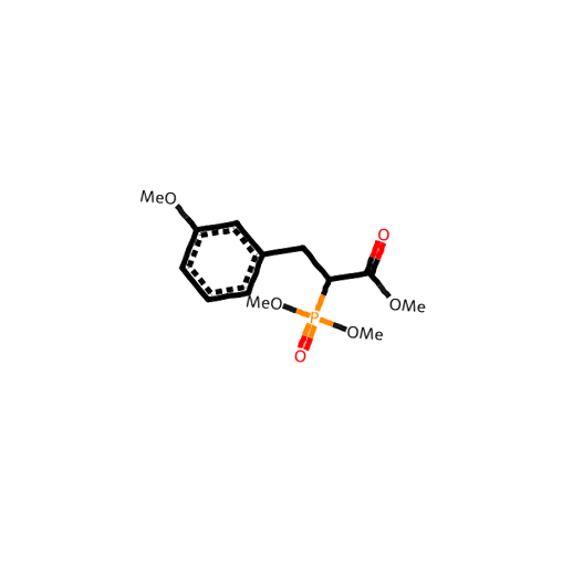 COC(=O)C(Cc1cccc(OC)c1)P(=O)(OC)OC